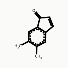 Cc1cc2c(cc1C)C(=O)C=C2